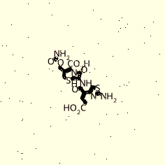 NC(=O)OCC1=C(C(=O)O)N2C(=O)[C@@H](NC(=O)/C(=C/CC(=O)O)c3csc(N)n3)[C@H]2SC1